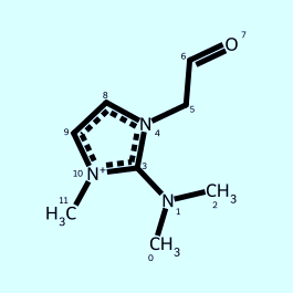 CN(C)c1n(CC=O)cc[n+]1C